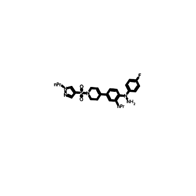 CCCc1cc(C2=CCN(S(=O)(=O)c3cnn(CCC)c3)CC2)ccc1N(N)c1ccc(F)cc1